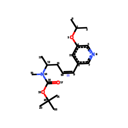 CC(C)Oc1cncc(/C=C\CC(C)N(C)C(=O)OC(C)(C)C)c1